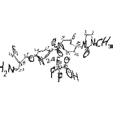 CN1CCN(C2CCN(S(=O)(=O)c3ccc(OC/C(=C\F)CN)nc3)CC2)C1=O.O=C(O)C(F)(F)F